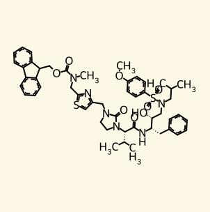 COc1ccc(S(=O)(=O)N(CC(C)C)C[C@@H](O)[C@H](Cc2ccccc2)NC(=O)[C@H](C(C)C)N2CCN(Cc3csc(CN(C)C(=O)OCC4c5ccccc5-c5ccccc54)n3)C2=O)cc1